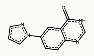 O=c1[nH]cnc2ccc(-n3cccn3)cc12